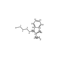 CCCCCn1c(N)nc2ccccc21